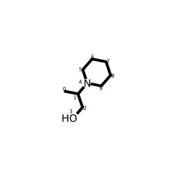 CC(CO)N1CCCCC1